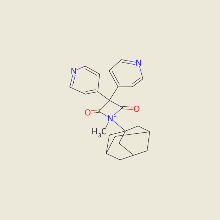 C[N+]1(C23CC4CC(CC(C4)C2)C3)C(=O)C(c2ccncc2)(c2ccncc2)C1=O